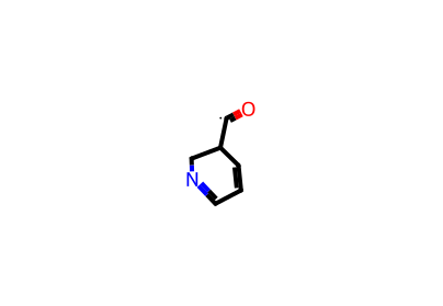 O=[C]C1C=CC=NC1